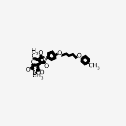 Cc1ccc(OCCCCCOc2ccc(-n3c(=O)c4c(C)cc5c(=O)n(C)c(=O)c5c4c3=O)cc2)cc1